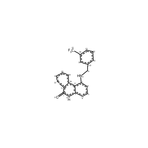 O=c1[nH]c2nccc(NCc3cccc(C(F)(F)F)c3)c2c2ccccc12